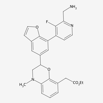 CCOC(=O)Cc1cccc2c1OC(c1cc(-c3ccnc(CN)c3F)c3occc3c1)CN2C